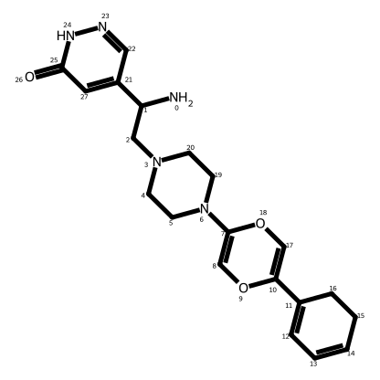 NC(CN1CCN(C2=COC(C3=CC=CCC3)=CO2)CC1)c1cn[nH]c(=O)c1